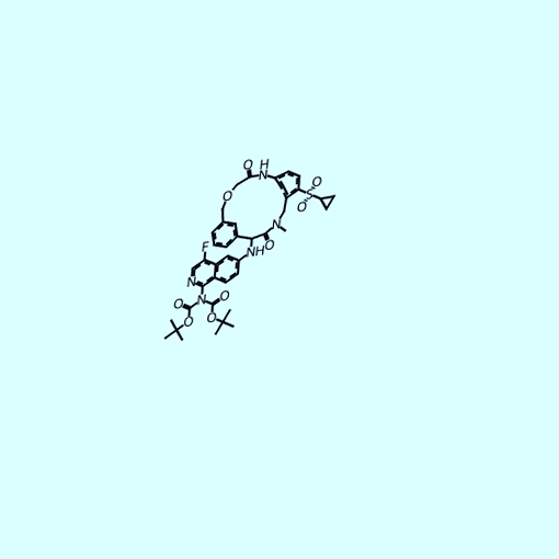 CN1Cc2cc(ccc2S(=O)(=O)C2CC2)NC(=O)COCc2cccc(c2)C(Nc2ccc3c(N(C(=O)OC(C)(C)C)C(=O)OC(C)(C)C)ncc(F)c3c2)C1=O